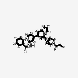 CC[C@H](C)N1CC2CC1CN2c1nc(-c2ccnc(N[C@@H](C)c3ccccc3)c2)cc2nccn12